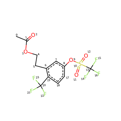 CC(=O)OCCc1cc(OS(=O)(=O)C(F)(F)F)ccc1C(F)(F)F